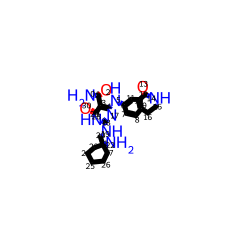 NC(=O)c1c(Nc2ccc3c(c2)C(=O)NCC3)nc(NCC2(N)CCCCC2)[nH]c1=O